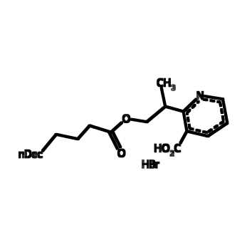 Br.CCCCCCCCCCCCCC(=O)OCC(C)c1ncccc1C(=O)O